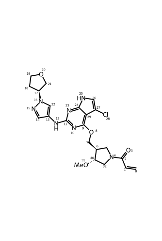 C=CC(=O)N1C[C@H](COc2nc(Nc3cnn([C@H]4CCOC4)c3)nc3[nH]cc(Cl)c23)[C@@H](OC)C1